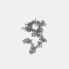 CCC[C@@H]1NC(=O)[C@@H](Cc2c[nH]c3ccccc23)NC(=O)[C@H](Cc2ccccc2)NC(=O)[C@@H](NC(=O)[C@@H](Cc2ccccc2)NC(=O)CCSC2CC(=O)N(CCNC(=O)CCCCC[N+]3=C(/C=C/C=C/C=C4/N(C)c5ccc6ccccc6c5C4(C)C)C(C)(C)c4c3ccc3ccccc43)C2=O)CSSC[C@@H](C(=O)N[C@H](CO)[C@@H](C)O)NC(=O)[C@H]([C@@H](C)O)NC1=O